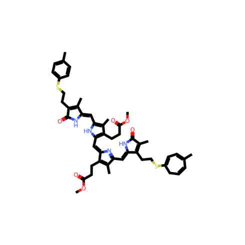 COC(=O)CCC1=C(C)C(/C=C2\NC(=O)C(C)=C2CCSC2=CC=C(C)C=CC2)=NC/1=C\c1[nH]c(/C=C2\NC(=O)C(CCSc3ccc(C)cc3)=C2C)c(C)c1CCC(=O)OC